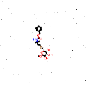 CO[C@H]1O[C@H](CSCCC(C)(C)NC(=O)OCc2ccccc2)[C@@H](O)[C@H](O)[C@H]1O